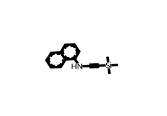 C[Si](C)(C)C#CNc1cccc2ccccc12